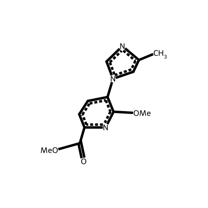 COC(=O)c1ccc(-n2cnc(C)c2)c(OC)n1